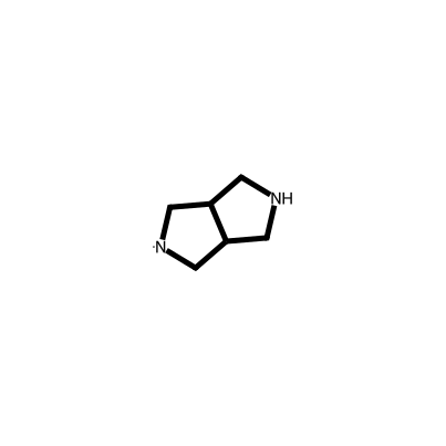 C1[N]CC2CNCC12